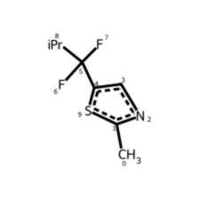 Cc1ncc(C(F)(F)C(C)C)s1